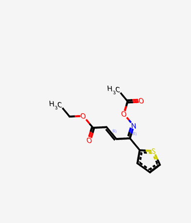 CCOC(=O)/C=C/C(=N\OC(C)=O)c1cccs1